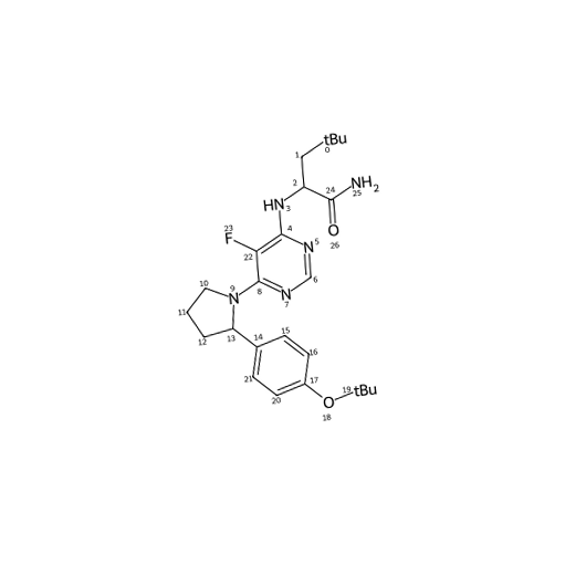 CC(C)(C)CC(Nc1ncnc(N2CCCC2c2ccc(OC(C)(C)C)cc2)c1F)C(N)=O